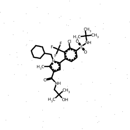 Cc1c(C(=O)NCC(C)(C)O)cc(-c2ccc(S(=O)(=O)NC(C)(C)C)c(Cl)c2C(F)(F)F)n1CC1CCCCC1